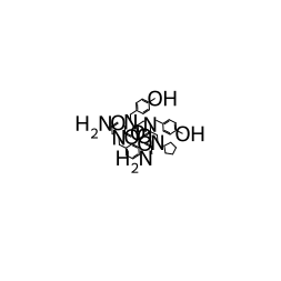 NCC(=O)N(CC(=O)N(CC(=O)N(CC(=O)N(CC(N)=O)Cc1ccccc1)Cc1ccc(O)cc1)Cc1ccc(O)cc1)C1CCCC1